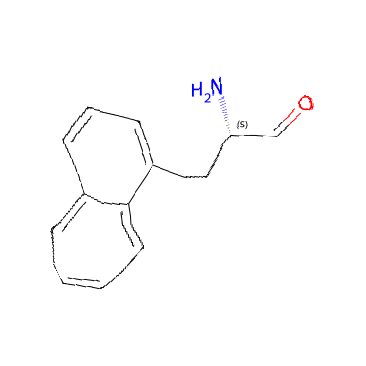 N[C@H](C=O)Cc1cccc2ccccc12